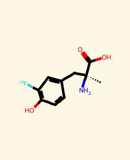 C[C@](N)(Cc1ccc(O)c([18F])c1)C(=O)O